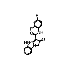 O=C1CN2C(=C1C(=O)Nc1ccc(F)cc1F)Nc1ccccc12